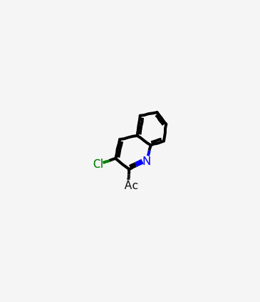 CC(=O)c1nc2ccccc2cc1Cl